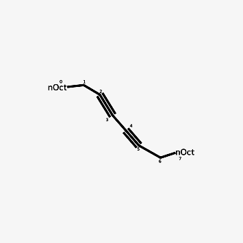 CCCCCCCCCC#CC#CCCCCCCCCC